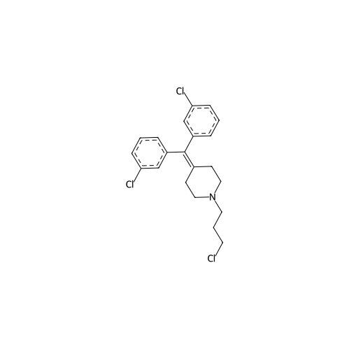 ClCCCN1CCC(=C(c2cccc(Cl)c2)c2cccc(Cl)c2)CC1